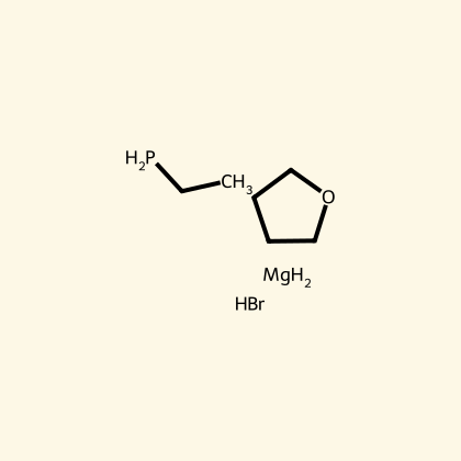 Br.C1CCOC1.CCP.[MgH2]